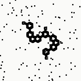 Clc1cccc(-c2ccc3ccc4ccc(-c5cc(Cl)cc(-c6ccc7ccc8ccc(-c9cccc(Cl)c9)nc8c7n6)c5)nc4c3n2)c1